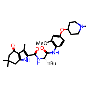 CCCC[C@H](NC(=O)c1[nH]c2c(c1C)C(=O)CC(C)(C)C2)C(=O)Nc1ccc(OC2CCN(C)CC2)cc1OC